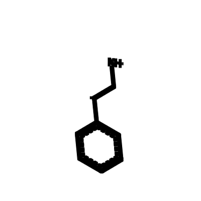 [NH]C[CH]c1ccccc1